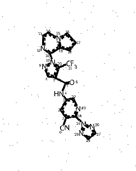 N#Cc1cc(NC(=O)c2cnn(-c3nccn4cccc34)c2C(F)(F)F)cnc1-n1nccn1